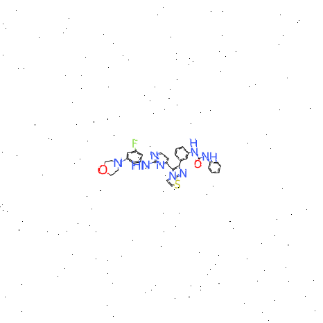 O=C(Nc1ccccc1)Nc1cccc(-c2nc3sccn3c2-c2ccnc(Nc3cc(F)cc(N4CCOCC4)c3)n2)c1